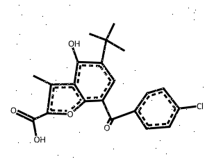 Cc1c(C(=O)O)oc2c(C(=O)c3ccc(Cl)cc3)cc(C(C)(C)C)c(O)c12